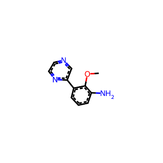 COc1c(N)cccc1-c1cnccn1